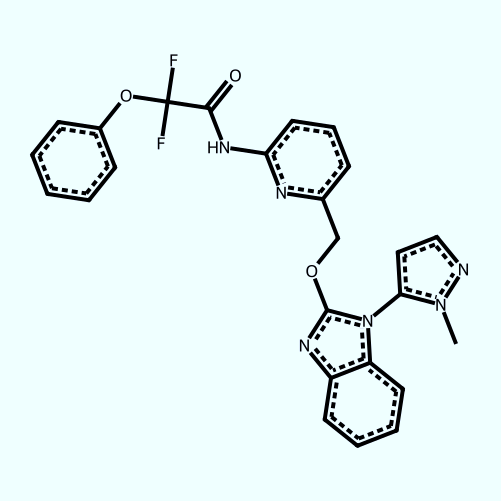 Cn1nccc1-n1c(OCc2cccc(NC(=O)C(F)(F)Oc3ccccc3)n2)nc2ccccc21